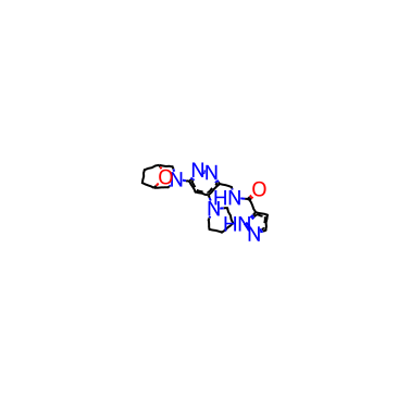 O=C(NCc1nnc(N2CC3CCC(C2)O3)cc1N1CCCCC1)c1ccn[nH]1